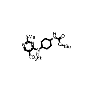 CCOC(=O)c1cnc(SC)nc1NC1CCC(NC(=O)OC(C)(C)C)CC1